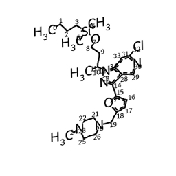 CCCC[Si](C)(C)OCCC(C)n1nc(-c2ccc(CN3CCN(C)CC3)o2)c2cnc(Cl)cc21